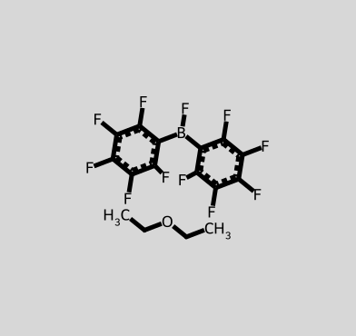 CCOCC.FB(c1c(F)c(F)c(F)c(F)c1F)c1c(F)c(F)c(F)c(F)c1F